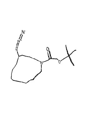 CC(C)(C)OC(=O)N1CCCCCC(N=[N+]=[N-])C1